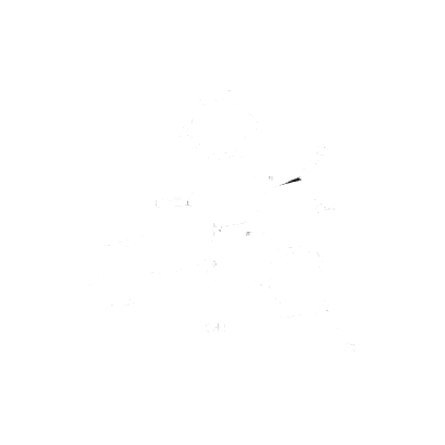 O=C(O)[C@@H]1c2ccccc2C(=O)N([C@H](CO)c2ccccc2)[C@H]1c1ccc(Cl)cc1